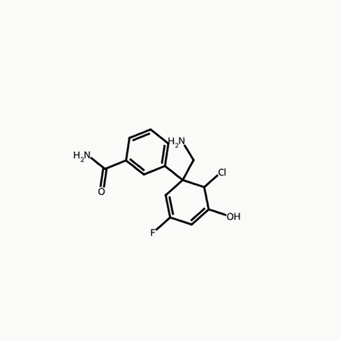 NCC1(c2cccc(C(N)=O)c2)C=C(F)C=C(O)C1Cl